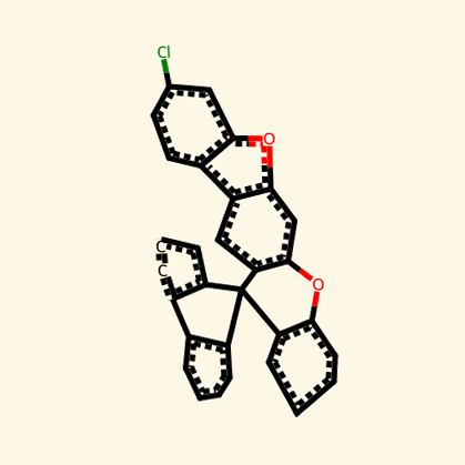 Clc1ccc2c(c1)oc1cc3c(cc12)C1(c2ccccc2O3)c2ccccc2-c2ccccc21